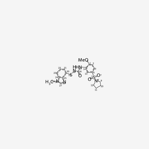 COc1ccc(S(=O)(=O)N2CCCC2)cc1NC(=O)NSc1cccc2c1ncn2C